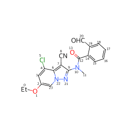 CCOc1cc(Cl)c2c(C#N)c(N(C)C(=O)c3ccccc3C=O)nn2c1